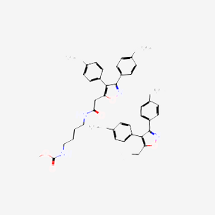 COc1ccc(-c2noc(CC(=O)NCCCCNC(=O)OC(C)(C)C)c2-c2ccc(OC)cc2)cc1.COc1ccc(-c2noc(CC(=O)O)c2-c2ccc(OC)cc2)cc1